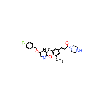 Cc1cc(/C=C/C(=O)N2CCNCC2)cc(C)c1Oc1ccc(OCc2ccc(F)cc2)cn1